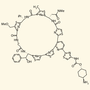 CNC(=O)C[C@@H]1NC(=O)c2csc(n2)-c2ccc(-c3nc(NC(=O)O[C@H]4CC[C@H](N)CC4)cs3)nc2-c2csc(n2)-c2csc(n2)[C@H]([C@@H](O)c2ccccc2)NC(=O)CNC(=O)c2nc(sc2COC)[C@H](C(C)C)NC(=O)c2nc1sc2C